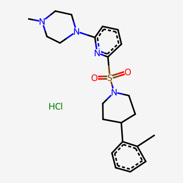 Cc1ccccc1C1CCN(S(=O)(=O)c2cccc(N3CCN(C)CC3)n2)CC1.Cl